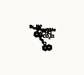 CCOC(=O)c1c(CCCOc2cccc3ccccc23)c2cccc(-c3c(CBr)nn(C)c3C(C)C)c2n1CCCNC.Cl